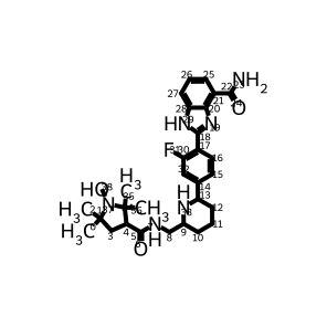 CC1(C)CC(C(=O)NCC2CCCC(c3ccc(-c4nc5c(C(N)=O)cccc5[nH]4)c(F)c3)N2)C(C)(C)N1O